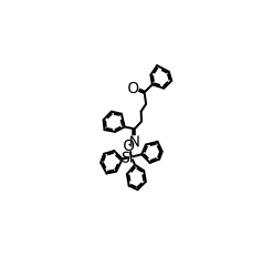 O=C(CCCC(=NO[Si](c1ccccc1)(c1ccccc1)c1ccccc1)c1ccccc1)c1ccccc1